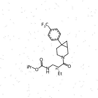 CC[C@H](CNC(=O)OC(C)C)C(=O)N1CCC2(c3ccc(C(F)(F)F)cc3)CC2C1